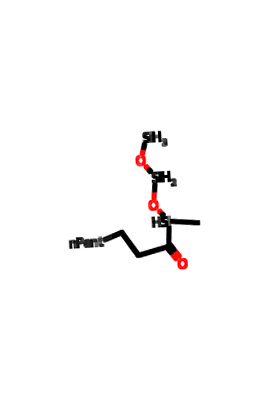 CCCCCCCC(=O)[SiH](C)O[SiH2]O[SiH3]